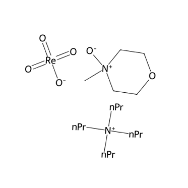 CCC[N+](CCC)(CCC)CCC.C[N+]1([O-])CCOCC1.[O]=[Re](=[O])(=[O])[O-]